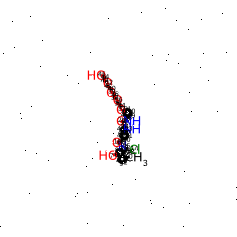 Cc1cccc2c(O)cc3c(c12)[C@H](CCl)CN3C(=O)c1ccc2[nH]c(C(=O)Nc3cccc(OCCOCCOCCOCCO)c3)cc2c1